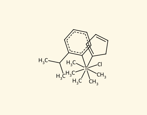 CC(C)c1cccc[c]1[Ti]([CH3])([CH3])([CH3])([CH3])([CH3])([Cl])[C]1=CC=CC1